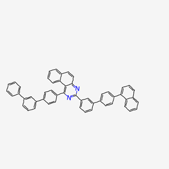 c1ccc(-c2cccc(-c3ccc(-c4nc(-c5cccc(-c6ccc(-c7cccc8ccccc78)cc6)c5)nc5ccc6ccccc6c45)cc3)c2)cc1